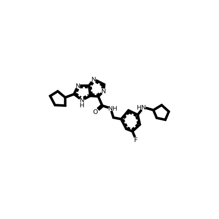 O=C(NCc1cc(F)cc(NC2CCCC2)c1)c1ncnc2nc(C3CCCC3)[nH]c12